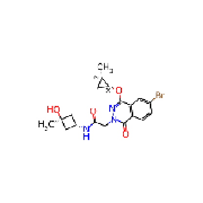 C[C@H]1C[C@H]1Oc1nn(CC(=O)N[C@H]2C[C@](C)(O)C2)c(=O)c2ccc(Br)cc12